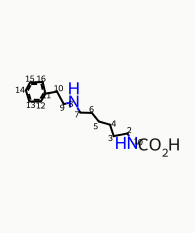 O=C(O)NCCCCCCNCCc1ccccc1